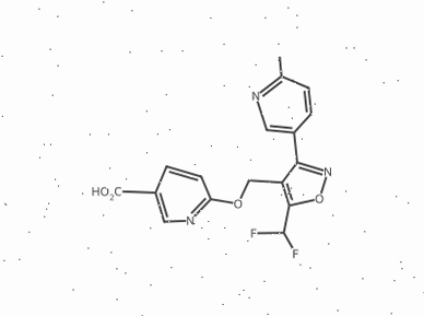 Cc1ccc(-c2noc(C(F)F)c2COc2ccc(C(=O)O)cn2)cn1